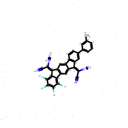 [C-]#[N+]/C(C#N)=C1\c2cc(-c3cccc(C)c3)ccc2-c2cc3c(cc21)-c1c(F)c(F)c(F)c(F)c1/C3=C(\C#N)[N+]#[C-]